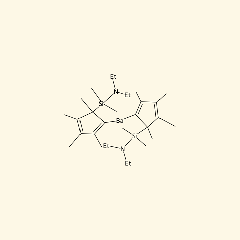 CCN(CC)[Si](C)(C)C1(C)C(C)=C(C)C(C)=[C]1[Ba][C]1=C(C)C(C)=C(C)C1(C)[Si](C)(C)N(CC)CC